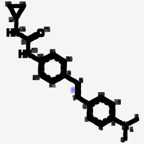 CN(C)c1ccc(/C=C/c2ccc(NC(=O)NC3CC3)cc2)cc1